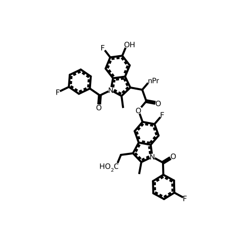 CCCC(C(=O)Oc1cc2c(CC(=O)O)c(C)n(C(=O)c3cccc(F)c3)c2cc1F)c1c(C)n(C(=O)c2cccc(F)c2)c2cc(F)c(O)cc12